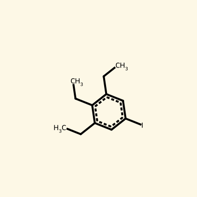 CCc1cc(I)cc(CC)c1CC